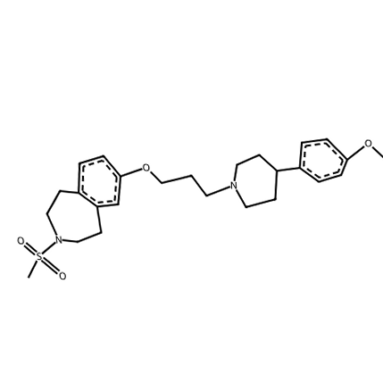 COc1ccc(C2CCN(CCCOc3ccc4c(c3)CCN(S(C)(=O)=O)CC4)CC2)cc1